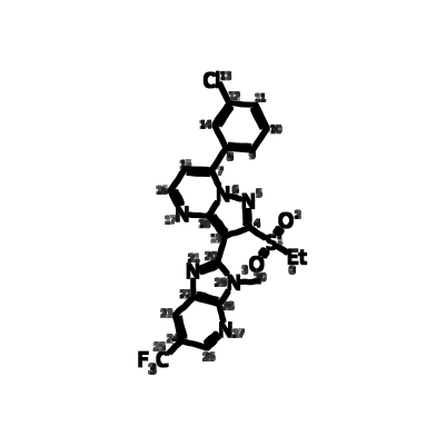 CCS(=O)(=O)c1nn2c(-c3cccc(Cl)c3)ccnc2c1-c1nc2cc(C(F)(F)F)cnc2n1C